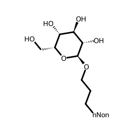 CCCCCCCCCCCCO[C@H]1O[C@H](CO)[C@H](O)[C@@H](O)[C@@H]1O